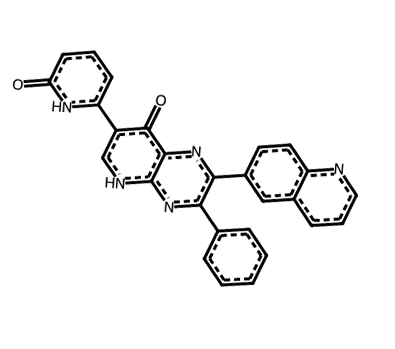 O=c1cccc(-c2c[nH]c3nc(-c4ccccc4)c(-c4ccc5ncccc5c4)nc3c2=O)[nH]1